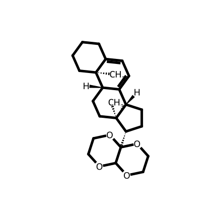 C[C@]12CC[C@H]3C(=CC=C4CCCC[C@@]43C)[C@@H]1CC[C@@H]2C12OCCOC1OCCO2